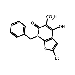 CCc1cc2c(O)c(C(=O)O)c(=O)n(Cc3ccccc3)c2s1